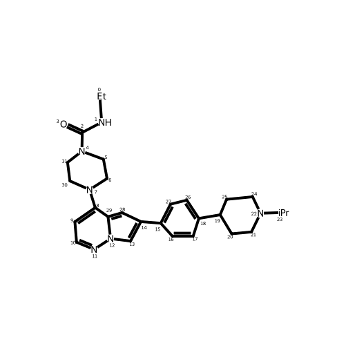 CCNC(=O)N1CCN(c2ccnn3cc(-c4ccc(C5CCN(C(C)C)CC5)cc4)cc23)CC1